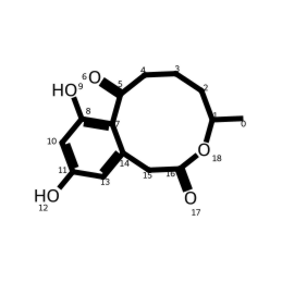 CC1CCCC(=O)c2c(O)cc(O)cc2CC(=O)O1